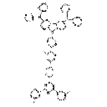 Cc1cccc(-c2cc(-c3ccc(-c4ccc(-c5ccc(-n6c7ccc(N(c8ccccc8)c8ccccc8)cc7c7cc(N(c8ccccc8)c8ccccc8)ccc76)cc5)c(C)c4)cc3)nc(-c3cccc(C)c3)n2)c1